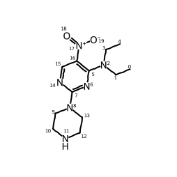 CCN(CC)c1nc(N2CCNCC2)ncc1[N+](=O)[O-]